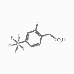 O=C(O)Cc1ccc(S(F)(F)(F)(F)F)cc1F